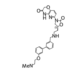 CNCCOc1cccc(-c2cccc(CNCC[C@H]3CN(c4ccc5c(n4)NC(=O)CO5)C(=O)O3)c2)c1